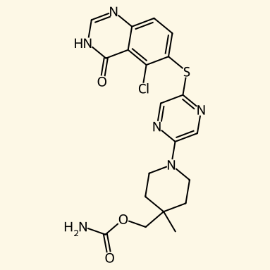 CC1(COC(N)=O)CCN(c2cnc(Sc3ccc4nc[nH]c(=O)c4c3Cl)cn2)CC1